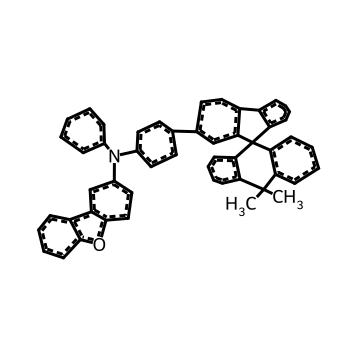 CC1(C)c2ccccc2C2(c3ccccc3-c3ccc(-c4ccc(N(c5ccccc5)c5ccc6oc7ccccc7c6c5)cc4)cc32)c2ccccc21